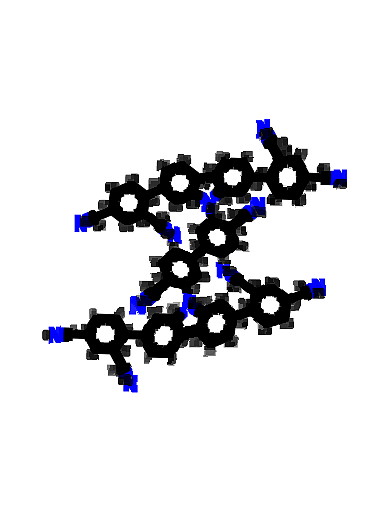 N#Cc1ccc(-c2ccc3c4ccc(-c5ccc(C#N)cc5C#N)cc4n(-c4cc(-c5ccc(C#N)c(-n6c7cc(-c8ccc(C#N)cc8C#N)ccc7c7ccc(-c8ccc(C#N)cc8C#N)cc76)c5)ccc4C#N)c3c2)c(C#N)c1